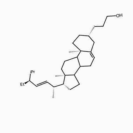 CC[C@H](/C=C/[C@@H](C)[C@H]1CCC2C3CC=C4C[C@@H]([CH]CCO)CC[C@]4(C)C3CC[C@@]21C)C(C)C